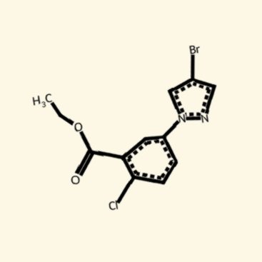 CCOC(=O)c1cc(-n2cc(Br)cn2)ccc1Cl